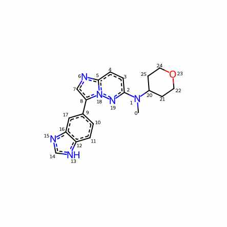 CN(c1ccc2ncc(-c3ccc4[nH]cnc4c3)n2n1)C1CCOCC1